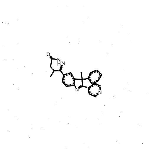 CC1CC(=O)NN=C1c1ccc2c(c1)C(C)(c1ccccc1)C(c1ccncc1)=N2